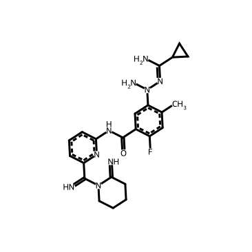 Cc1cc(F)c(C(=O)Nc2cccc(C(=N)N3CCCCC3=N)n2)cc1N(N)/N=C(\N)C1CC1